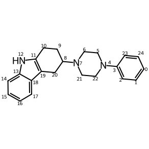 c1ccc(N2CCN(C3CCc4[nH]c5ccccc5c4C3)CC2)cc1